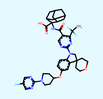 CC(F)(F)c1nc(N2CC3(CCOCC3)c3cc(OC4CCN(c5ncc(F)cn5)CC4)ccc32)ncc1C(=O)NC1(C(=O)O)C2CC3CC(C2)CC1C3